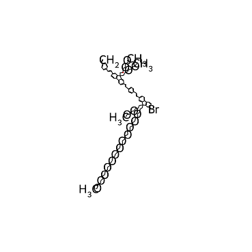 C=Cc1ccc(/C=C/c2ccc3c(c2)C(CCCOCCOC)(CCCOCCOC)c2cc(/C=C/c4ccc(/C=C/c5ccc6c(c5)C(CCCOCCOC)(CCCOCCOCCOCCOCCOCCOCCOCCOCCOCCOCCOCCOC)c5cc(Br)ccc5-6)cc4)ccc2-3)cc1